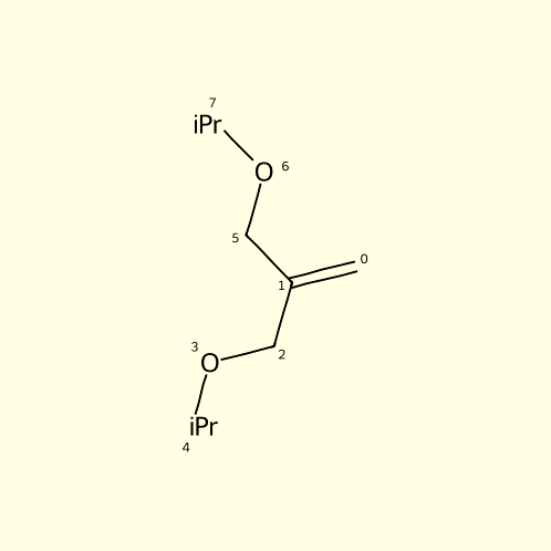 C=C(COC(C)C)COC(C)C